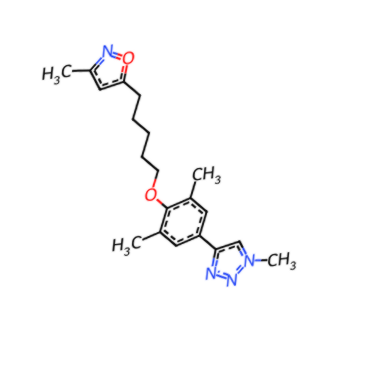 Cc1cc(CCCCCOc2c(C)cc(-c3cn(C)nn3)cc2C)on1